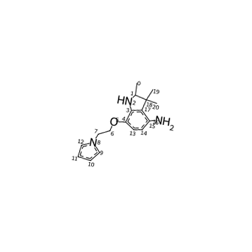 CC1Nc2c(OCCn3cccc3)ccc(N)c2C1(C)C